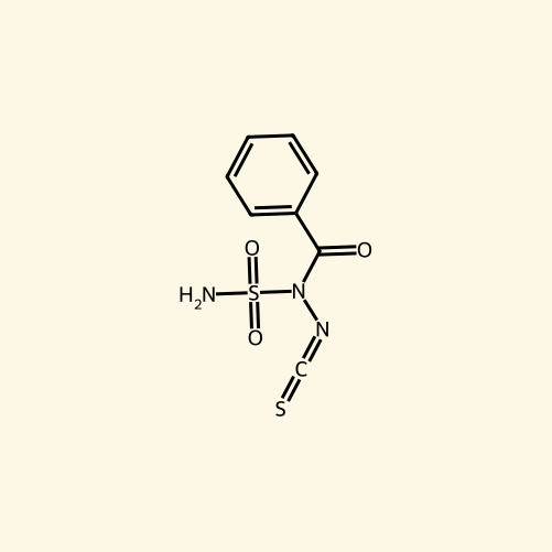 NS(=O)(=O)N(N=C=S)C(=O)c1ccccc1